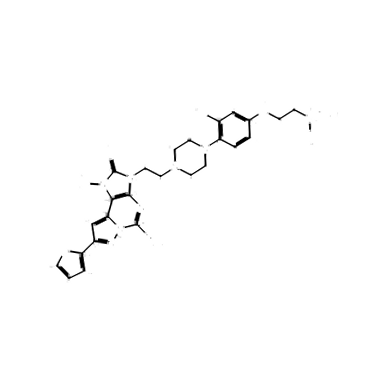 Cn1c(=O)n(CCN2CCN(c3ccc(OCC[S@@+](C)[O-])cc3F)CC2)c2nc(N)n3nc(-c4ccco4)cc3c21